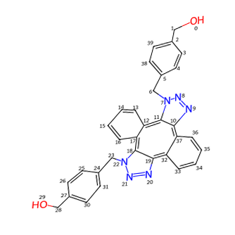 OCc1ccc(Cn2nnc3/c2=c2/cccc/c2=c2/c(nnn2Cc2ccc(CO)cc2)=c2/cccc/c2=3)cc1